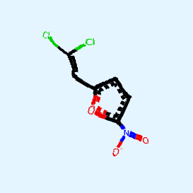 O=[N+]([O-])c1ccc(C=C(Cl)Cl)o1